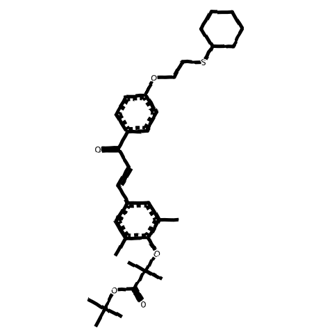 Cc1cc(C=CC(=O)c2ccc(OCCSC3CCCCC3)cc2)cc(C)c1OC(C)(C)C(=O)OC(C)(C)C